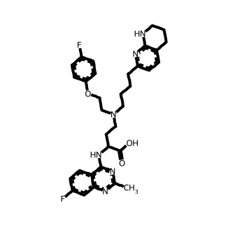 Cc1nc(NC(CCN(CCCCc2ccc3c(n2)NCCC3)CCOc2ccc(F)cc2)C(=O)O)c2ccc(F)cc2n1